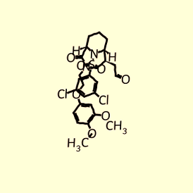 COc1ccc(OCCN2C[C@H](CC=O)[C@H]3CCC[C@@H](C2=O)N3S(=O)(=O)c2cc(Cl)cc(Cl)c2)cc1OC